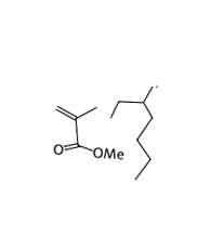 C=C(C)C(=O)OC.[CH2]C(CC)CCCC